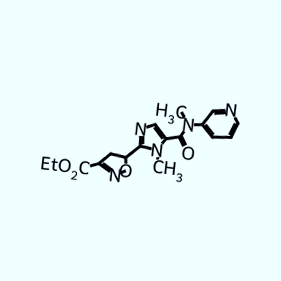 CCOC(=O)C1=NOC(c2ncc(C(=O)N(C)c3cccnc3)n2C)C1